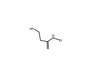 C=C(CCCCC)NCC